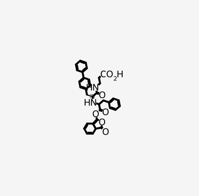 O=C(O)CCNC(=O)[C@H](Cc1ccc(-c2ccccc2)cc1)NC(Cc1ccccc1)C(=O)OC1=C2C=CC=CC2C(=O)O1